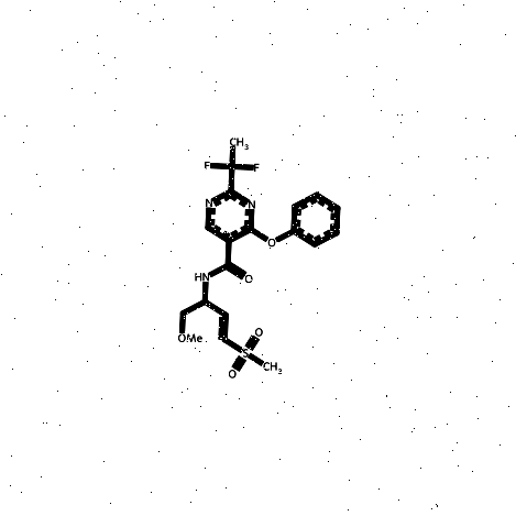 COCC(C=CS(C)(=O)=O)NC(=O)c1cnc(C(C)(F)F)nc1Oc1ccccc1